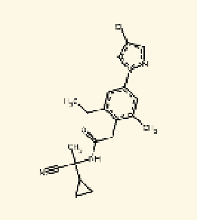 CCc1cc(-n2cc(Cl)cn2)cc(C)c1CC(=O)NC(C)(C#N)C1CC1